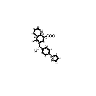 Cc1c(Cc2ccc(-n3cccn3)cc2)cc(C(=O)[O-])c2ncccc12.[Li+]